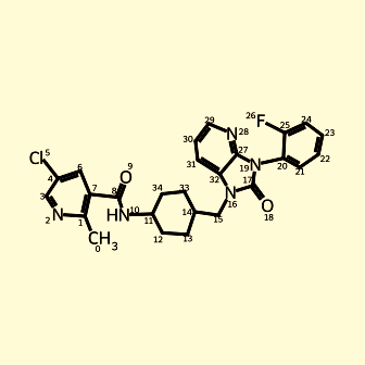 Cc1ncc(Cl)cc1C(=O)NC1CCC(Cn2c(=O)n(-c3ccccc3F)c3ncccc32)CC1